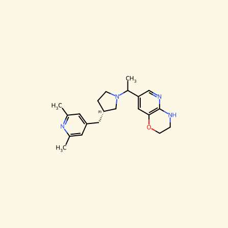 Cc1cc(C[C@@H]2CCN(C(C)c3cnc4c(c3)OCCN4)C2)cc(C)n1